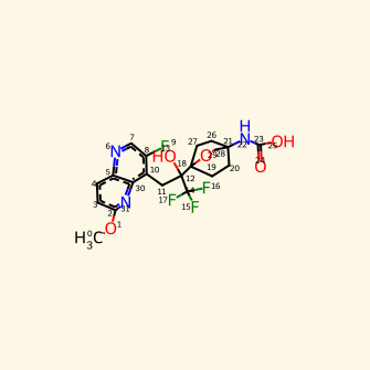 COc1ccc2ncc(F)c(CC(O)(C(F)(F)F)C34CCC(NC(=O)O)(CC3)CO4)c2n1